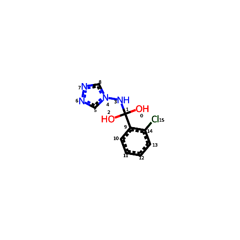 OC(O)(Nn1cnnc1)c1ccccc1Cl